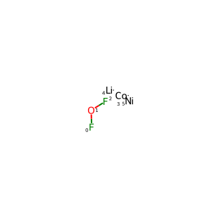 FOF.[Co].[Li].[Ni]